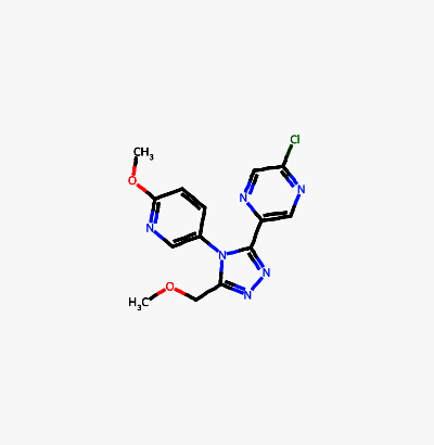 COCc1nnc(-c2cnc(Cl)cn2)n1-c1ccc(OC)nc1